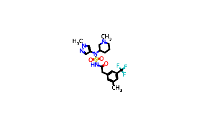 Cc1cc(CC(=O)NS(=O)(=O)N(c2cnn(C)c2)C2CCCN(C)C2)cc(C(F)(F)F)c1